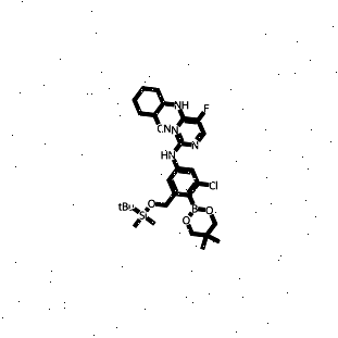 CC1(C)COB(c2c(Cl)cc(Nc3ncc(F)c(NC4CCCCC4C#N)n3)cc2CO[Si](C)(C)C(C)(C)C)OC1